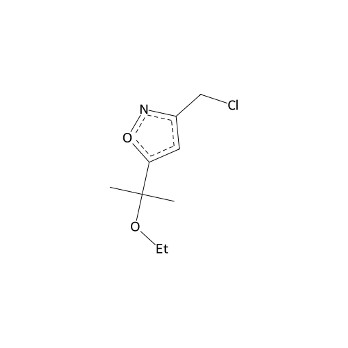 CCOC(C)(C)c1cc(CCl)no1